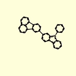 c1ccc(-n2c3ccccc3c3ccc(-c4ccc5c(c4)-c4cccc6cccc-5c46)cc32)cc1